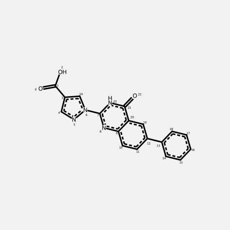 O=C(O)c1cnn(-c2nc3ccc(-c4ccccc4)cc3c(=O)[nH]2)c1